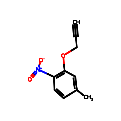 C#CCOc1cc(C)ccc1[N+](=O)[O-]